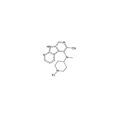 CCN1CCC(N(C)c2c(C#N)ncc3[nH]c4ncccc4c23)CC1